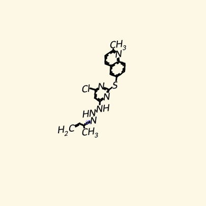 C=C/C(C)=N\NNc1cc(Cl)nc(Sc2ccc3nc(C)ccc3c2)n1